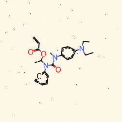 C=CC(=O)OC(C)N(C(=O)N(C)c1ccc(N(CC)CC)cc1)c1ccccc1